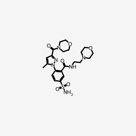 Cc1cc(C(=O)N2CCOCC2)nn1-c1ccc(S(N)(=O)=O)cc1C(=O)NCCN1CCOCC1